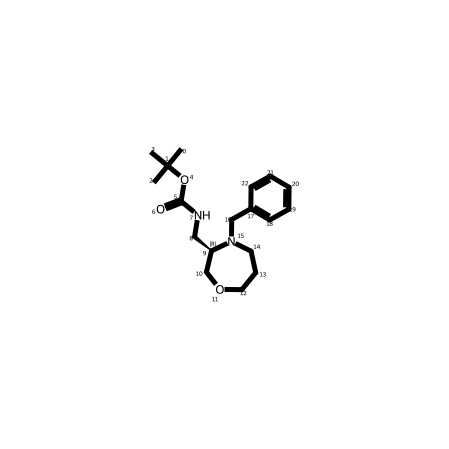 CC(C)(C)OC(=O)NC[C@@H]1COCCCN1Cc1ccccc1